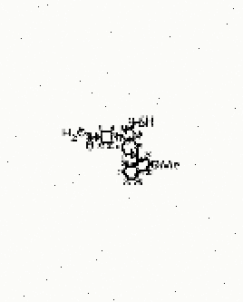 C=CC(=O)N1CCN(c2nc(CS)nc3c2CCN(c2cc(OC)cc4ccccc24)C3)CC1